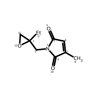 CCC1(CN2C(=O)C=C(C)C2=O)CO1